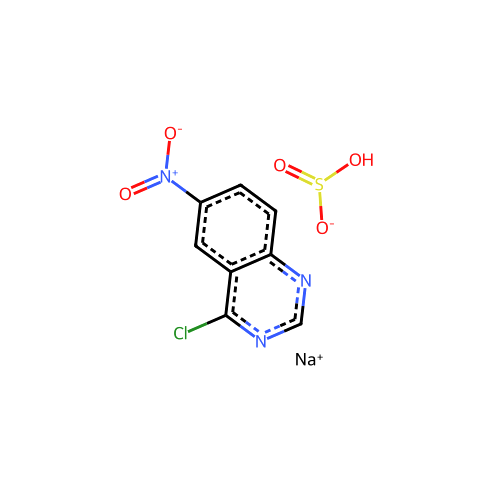 O=S([O-])O.O=[N+]([O-])c1ccc2ncnc(Cl)c2c1.[Na+]